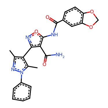 Cc1nn(-c2ccccc2)c(C)c1-c1noc(NC(=O)c2ccc3c(c2)OCO3)c1C(N)=O